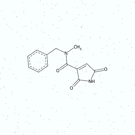 CN(Cc1ccccc1)C(=O)C1=CC(=O)NC1=O